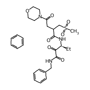 CC[C@H](NC(=O)C(CC(=O)N1CCOCC1)CS(C)(=O)=O)C(=O)C(=O)NCc1ccccc1.c1ccccc1